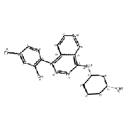 Oc1cc(Cl)ccc1-c1nnc(N[C@H]2CCC[C@@H](O)C2)c2cnccc12